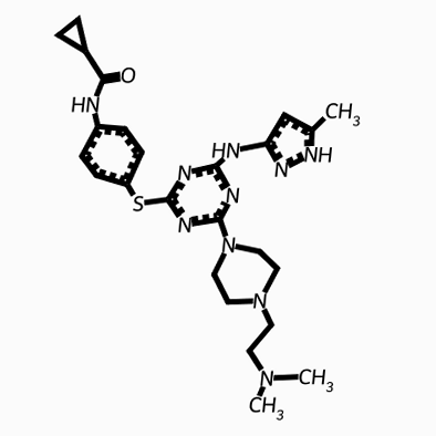 Cc1cc(Nc2nc(Sc3ccc(NC(=O)C4CC4)cc3)nc(N3CCN(CCN(C)C)CC3)n2)n[nH]1